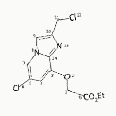 CCOC(=O)COc1cc(Cl)cn2cc(CCl)nc12